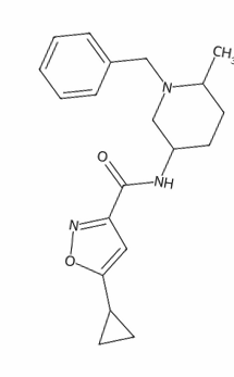 CC1CCC(NC(=O)c2cc(C3CC3)on2)CN1Cc1ccccc1